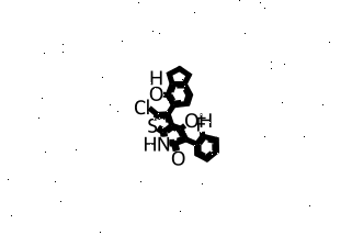 O=c1[nH]c2sc(Cl)c(-c3ccc4c(c3O)CCC4)c2c(O)c1-c1ccccc1F